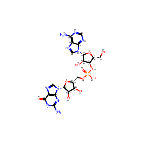 Nc1nc2c(ncn2[C@@H]2O[C@H](COP(=O)(O)O[C@H]3[C@@H](O)[C@H](n4cnc5c(N)ncnc54)O[C@@H]3CO)[C@@H](O)[C@H]2O)c(=O)[nH]1